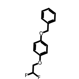 FC(F)COc1ccc(OCc2ccccc2)cc1